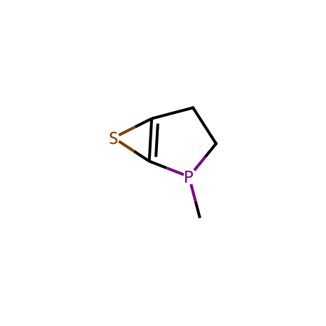 CP1CCC2=C1S2